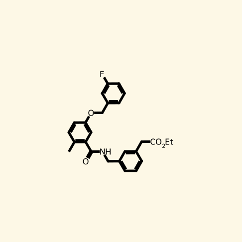 CCOC(=O)Cc1cccc(CNC(=O)c2cc(OCc3cccc(F)c3)ccc2C)c1